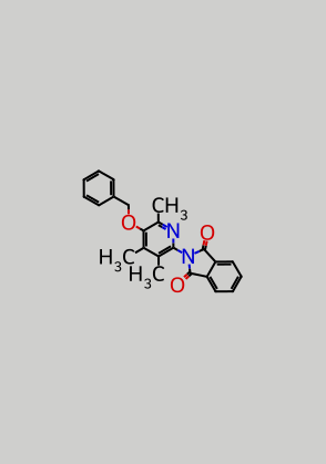 Cc1nc(N2C(=O)c3ccccc3C2=O)c(C)c(C)c1OCc1ccccc1